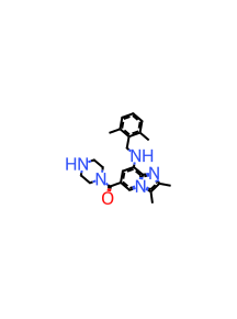 Cc1cccc(C)c1CNc1cc(C(=O)N2CCNCC2)cn2c(C)c(C)nc12